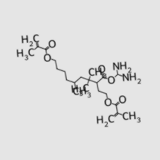 C=C(C)C(=O)OCCCCC(C)CC(C)(C)C(CCOC(=O)C(=C)C)C(=O)OC(N)N